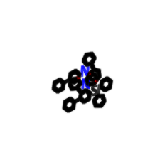 c1ccc(-c2ccc(-n3c4ccccc4c4cccc(-n5c6ccccc6c6c(-c7ccccc7)ccc([Si](c7ccccc7)(c7ccccc7)c7ccccc7)c65)c43)cc2)cc1